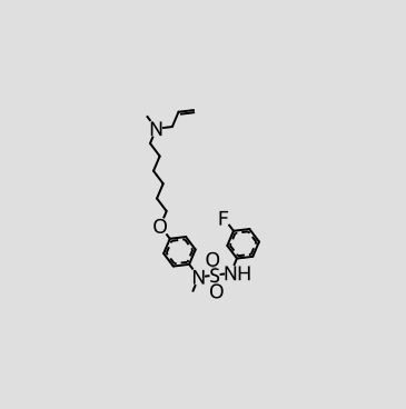 C=CCN(C)CCCCCCOc1ccc(N(C)S(=O)(=O)Nc2cccc(F)c2)cc1